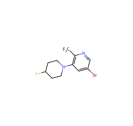 FC1CCN(c2cc(Br)cnc2C(F)(F)F)CC1